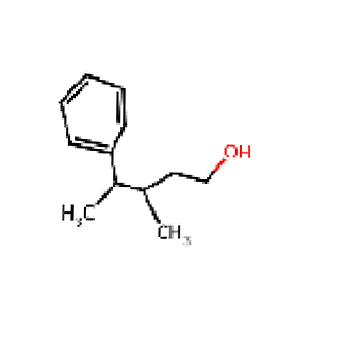 CC(CCO)C(C)c1ccccc1